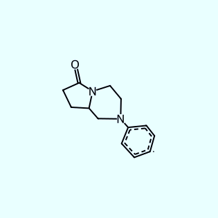 O=C1CCC2CN(c3cc[c]cc3)CCN12